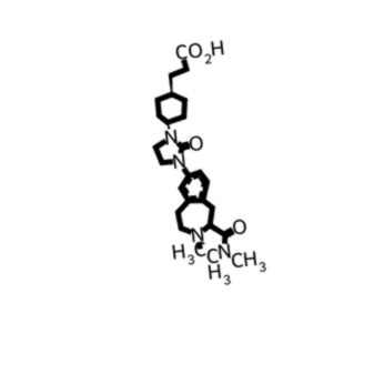 CN(C)C(=O)C1Cc2ccc(N3CCN([C@H]4CC[C@H](CCC(=O)O)CC4)C3=O)cc2CCN1C